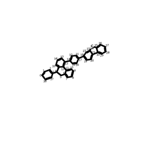 c1ccc(C2Cc3ccccc3-c3c(-c4ccc(-c5ccc6c(c5)sc5ccccc56)cc4)cccc32)cc1